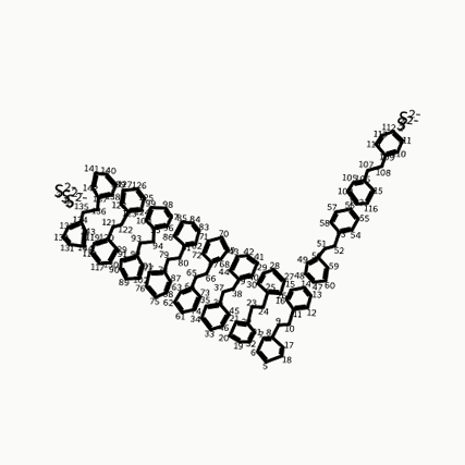 [S-2].[S-2].[S-2].[S-2].[S-2].c1ccc(CCc2ccccc2)cc1.c1ccc(CCc2ccccc2)cc1.c1ccc(CCc2ccccc2)cc1.c1ccc(CCc2ccccc2)cc1.c1ccc(CCc2ccccc2)cc1.c1ccc(CCc2ccccc2)cc1.c1ccc(CCc2ccccc2)cc1.c1ccc(CCc2ccccc2)cc1.c1ccc(CCc2ccccc2)cc1.c1ccc(CCc2ccccc2)cc1